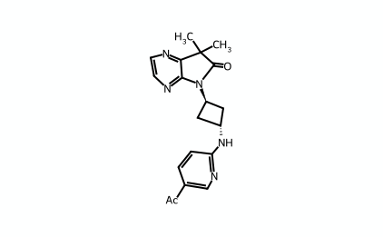 CC(=O)c1ccc(N[C@H]2C[C@H](N3C(=O)C(C)(C)c4nccnc43)C2)nc1